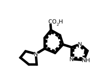 O=C(O)c1cc(-c2nc[nH]n2)cc(N2CCCC2)c1